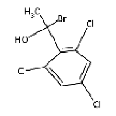 CC(O)(Br)c1c(Cl)cc(Cl)cc1Cl